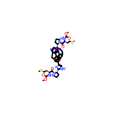 COC(=O)N[C@@H](CCSC)C(=O)N1CCC[C@H]1c1nc(-c2ccc(-c3cc4ccc3CCc3ccc(c(-c5c[nH]c([C@@H]6CCCN6C(=O)[C@H](CCSC)NC(=O)OC)n5)c3)CC4)cc2)c[nH]1